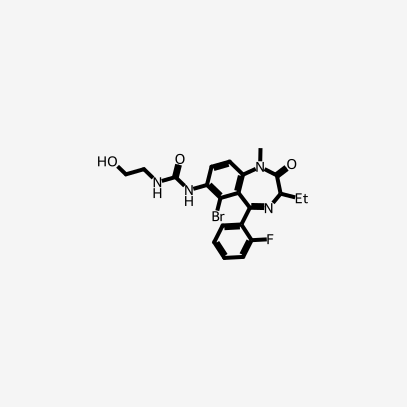 CCC1N=C(c2ccccc2F)c2c(ccc(NC(=O)NCCO)c2Br)N(C)C1=O